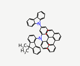 CC1(C)c2ccccc2-c2c(N(c3cccc(-n4c5ccccc5c5ccccc54)c3)c3ccccc3-c3cccc4cccc(-c5ccccc5)c34)cccc21